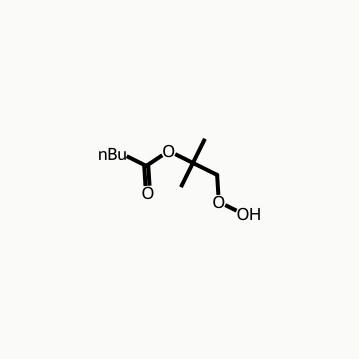 CCCCC(=O)OC(C)(C)COO